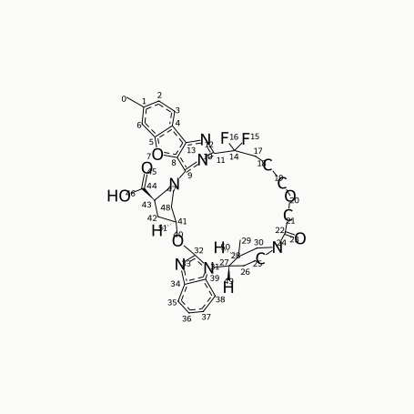 Cc1ccc2c(c1)oc1c3nc(nc12)C(F)(F)CCCOCC(=O)N1CC[C@@H]([C@@H](C)C1)n1c(nc2ccccc21)O[C@H]1C[C@@H](C(=O)O)N3C1